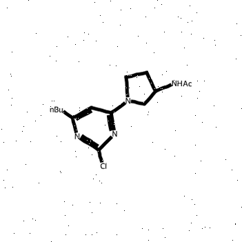 CCCCc1cc(N2CCC(NC(C)=O)C2)nc(Cl)n1